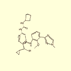 COc1c(Nc2cc(NC(=O)NC3CCC3)ncc2C(O)C2CC2)cccc1-c1ncn(C)n1